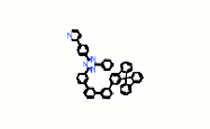 c1ccc(-c2nc(-c3ccc(-c4cccnc4)cc3)nc(-c3cccc(-c4cccc(-c5cccc(-c6ccc7c(c6)C6(c8ccccc8-c8ccccc86)c6ccccc6-7)c5)c4)c3)n2)cc1